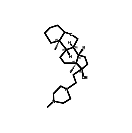 CN1CCN(CC[C@@]2(O)CC[C@H]3[C@@H]4CCC5CCCC[C@]5(C)[C@H]4CC[C@@]32C)CC1